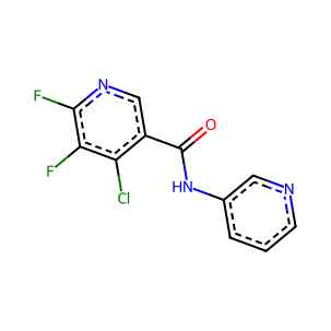 O=C(Nc1cccnc1)c1cnc(F)c(F)c1Cl